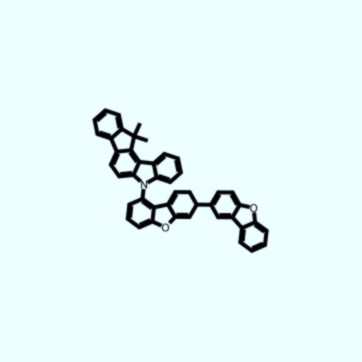 CC1(C)c2ccccc2-c2ccc3c(c21)c1ccccc1n3-c1cccc2oc3c(c12)=CCC(c1ccc2oc4ccccc4c2c1)C=3